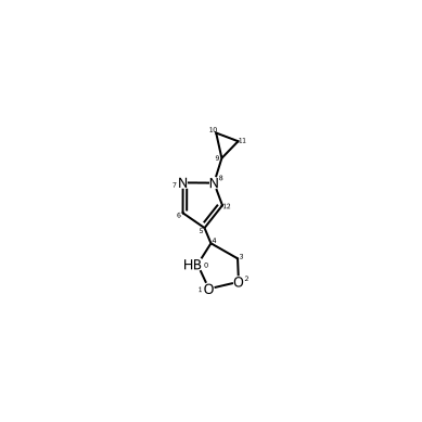 B1OOCC1c1cnn(C2CC2)c1